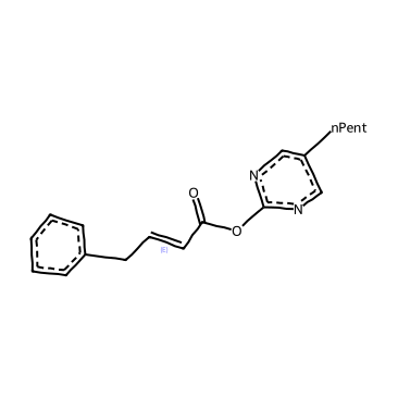 CCCCCc1cnc(OC(=O)/C=C/Cc2ccccc2)nc1